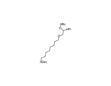 CCCCCCCCCCCCCCCCCCOCC(CCC)OCCCC